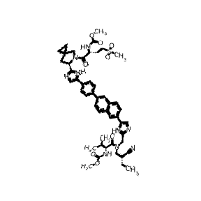 CC[C@@H](C#N)CN(Cc1ncc(-c2ccc3cc(-c4ccc(-c5cnc([C@H]6CC7(CC7)CN6C(=O)[C@@H](CCS(C)(=O)=O)NC(=O)OC)[nH]5)cc4)ccc3c2)[nH]1)C(=O)[C@H](NC(=O)OC)C(C)C